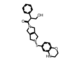 O=C(C(CO)c1ccccc1)N1CC2=C(CN(Sc3ccc4c(c3)NCCO4)C2)C1